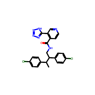 CC(c1ccc(Cl)cc1)C(CNC(=O)c1ccncc1-c1nnn[nH]1)c1ccc(Cl)cc1